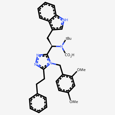 COc1ccc(Cn2c(CCc3ccccc3)nnc2[C@@H](Cc2c[nH]c3ccccc23)N(C(=O)O)C(C)(C)C)c(OC)c1